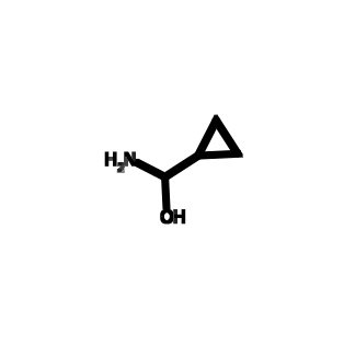 NC(O)C1CC1